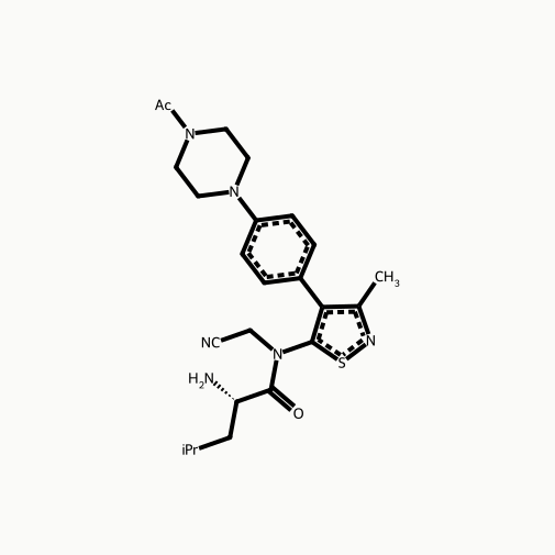 CC(=O)N1CCN(c2ccc(-c3c(C)nsc3N(CC#N)C(=O)[C@@H](N)CC(C)C)cc2)CC1